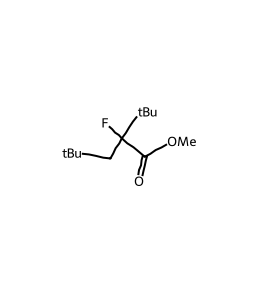 COC(=O)C(F)(CC(C)(C)C)C(C)(C)C